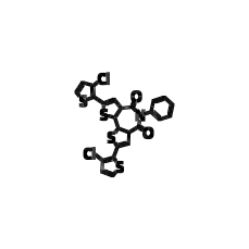 O=C1C2C=C(c3sccc3Cl)SC2C2SC(c3sccc3Cl)=CC2C(=O)N1c1ccccc1